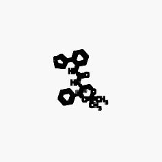 CC1(C)OC[C@H](NC(=O)Nc2ccccc2-c2ccsc2)[C@H](c2ccccc2)O1